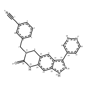 N#Cc1cccc(CN2Cc3cc4c(-c5ccnnc5)n[nH]c4cc3NC2=O)c1